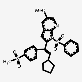 COc1cnc2c(c1)cc(/C(=C/C1CCCC1)c1ccc(S(C)(=O)=O)cc1)n2S(=O)(=O)c1ccccc1